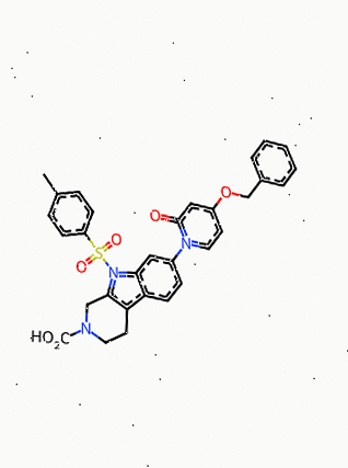 Cc1ccc(S(=O)(=O)n2c3c(c4ccc(-n5ccc(OCc6ccccc6)cc5=O)cc42)CCN(C(=O)O)C3)cc1